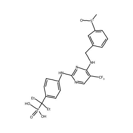 CCC(CC)(c1ccc(Nc2ncc(C(F)(F)F)c(NCc3cccc([S+](C)[O-])c3)n2)cc1)P(=O)(O)O